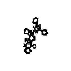 CC1(C)c2ccccc2C(=O)n2c1nc1c3c4ccccc4n(-c4nc(-c5ccccc5)nc(-c5ccccc5)n4)c3ccc12